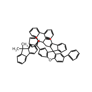 CC1(C)c2ccccc2-c2ccc(N(c3ccccc3-c3ccccc3)C3C=CC4=C(C3)C3(c5cc(-c6ccccc6)ccc5Oc5ccc(-c6ccccc6)cc53)c3ccccc34)cc21